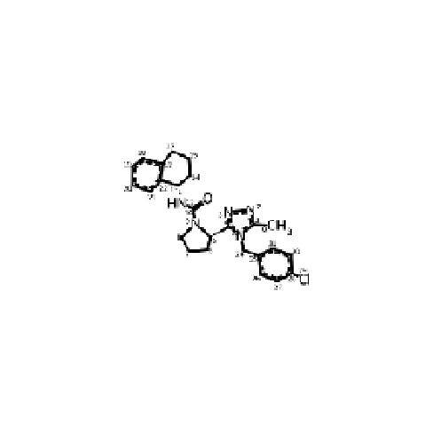 Cc1nnc([C@H]2CCCN2C(=O)N[C@H]2CCCc3ccccc32)n1Cc1ccc(Cl)cc1